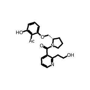 CC(=O)c1c(O)cccc1OC[C@@H]1CCCN1C(=O)c1cccnc1CCO